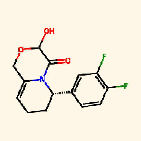 O=C1C(O)OCC2=CCC[C@@H](c3ccc(F)c(F)c3)N12